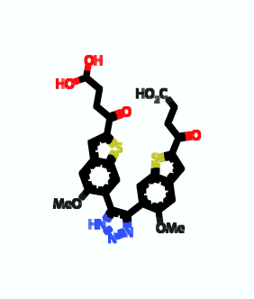 COc1cc2cc(C(=O)CCC(=O)O)sc2cc1-c1nn[nH]c1-c1cc2sc(C(=O)CCC(O)O)cc2cc1OC